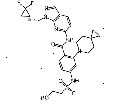 O=C(Nc1ccc2cnn(C[C@@H]3CC3(F)F)c2n1)c1ccc(NS(=O)(=O)CCO)cc1N1CCC2(CC1)CC2